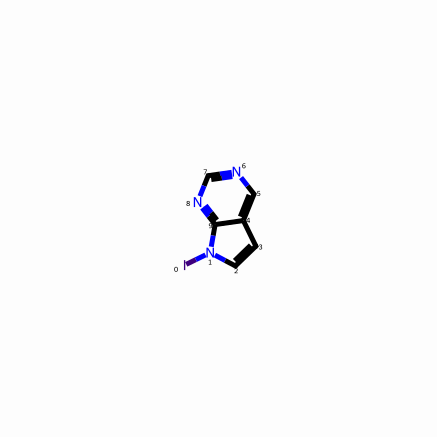 In1ccc2cncnc21